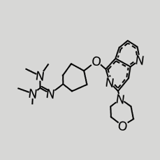 CN(C)C(=NC1CCC(Oc2nc(N3CCOCC3)cc3ncccc23)CC1)N(C)C